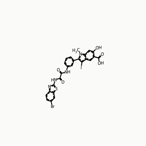 Cn1c(-c2cccc(NC(=O)C(=O)Nc3nc4ccc(Br)cc4s3)c2)c(I)c2cc(C(=O)O)c(O)cc21